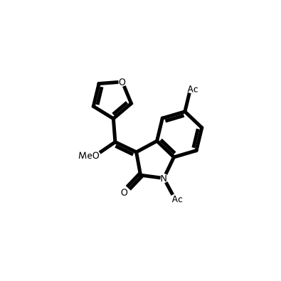 COC(=C1C(=O)N(C(C)=O)c2ccc(C(C)=O)cc21)c1ccoc1